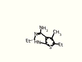 CCc1sc2c(c1C)C(N)=N[C@@H](CC)N2